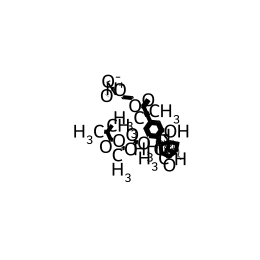 CC(OC(=O)Oc1cc(C(C)(C)C(=O)OCCO[N+](=O)[O-])cc(O)c1[C@@H]1CC(=O)[C@@H]2C[C@@H]1C2(C)C)OC(=O)C(C)C